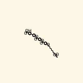 C=CC(=O)OCCCCCCCCOc1ccc(C(=O)Oc2ccc(C(=O)Oc3ccc(-c4ccc(C(=O)O)cc4)cc3)cc2)cc1